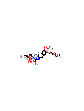 COCCCOc1cc(CC(CC(NC(=O)OC(C)(C)C)C(=O)O)C(C)C)ccc1OC